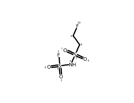 O=S(=O)(F)NS(=O)(=O)CCF